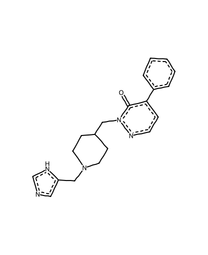 O=c1c(-c2ccccc2)ccnn1CC1CCN(Cc2cnc[nH]2)CC1